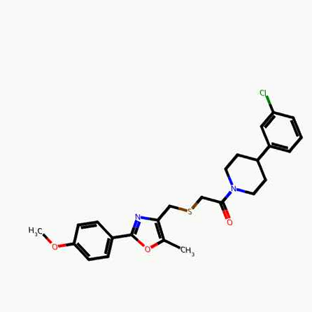 COc1ccc(-c2nc(CSCC(=O)N3CCC(c4cccc(Cl)c4)CC3)c(C)o2)cc1